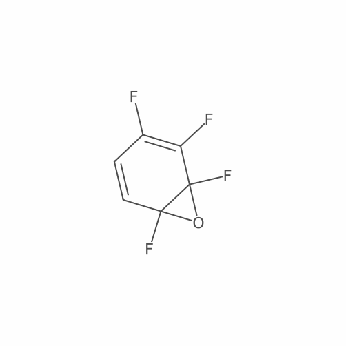 FC1=C(F)C2(F)OC2(F)C=C1